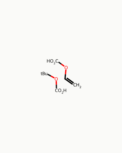 C=COC(=O)O.CC(C)(C)OC(=O)O